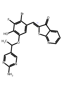 CC(Oc1cc(/C=C2\Sc3ncccc3C2=O)c(Br)c(F)c1O)c1cnc(N)nc1